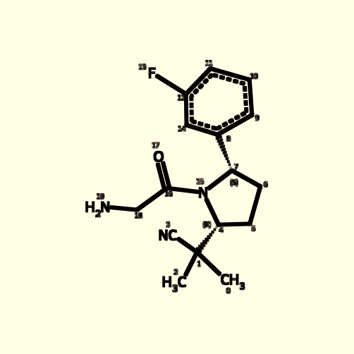 CC(C)(C#N)[C@H]1CC[C@@H](c2cccc(F)c2)N1C(=O)CN